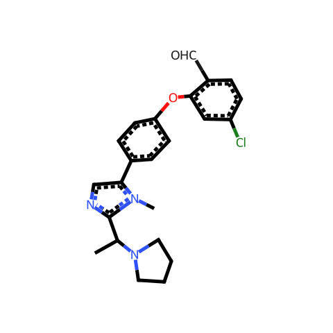 CC(c1ncc(-c2ccc(Oc3cc(Cl)ccc3C=O)cc2)n1C)N1CCCC1